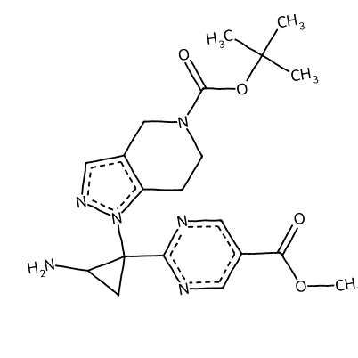 COC(=O)c1cnc(C2(n3ncc4c3CCN(C(=O)OC(C)(C)C)C4)CC2N)nc1